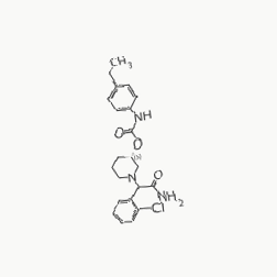 CCc1ccc(NC(=O)O[C@H]2CCCN(C(C(N)=O)c3ccccc3Cl)C2)cc1